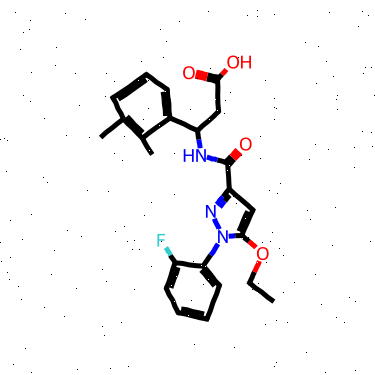 CCOc1cc(C(=O)NC(CC(=O)O)c2cccc(C)c2C)nn1-c1ccccc1F